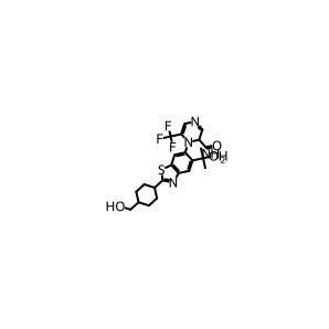 CC(C)(O)c1cc2nc(C3CCC(CO)CC3)sc2cc1N1C(C(F)(F)F)=CN=CC1C(N)=O